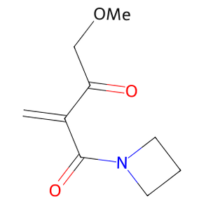 C=C(C(=O)COC)C(=O)N1CCC1